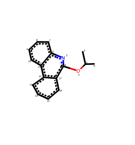 CC(C)Oc1nc2ccccc2c2ccccc12